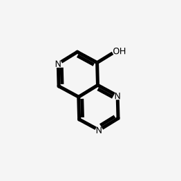 Oc1cncc2cncnc12